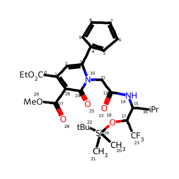 CCOC(=O)c1cc(-c2ccccc2)n(CC(=O)NC(C(C)C)C(O[Si](C)(C)C(C)(C)C)C(F)(F)F)c(=O)c1C(=O)OC